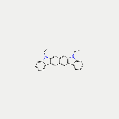 CCn1c2ccccc2c2cc3cc4c5ccccc5n(CC)c4cc3cc21